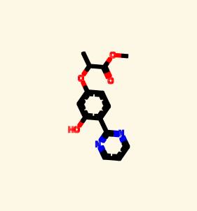 COC(=O)C(C)Oc1ccc(-c2ncccn2)c(O)c1